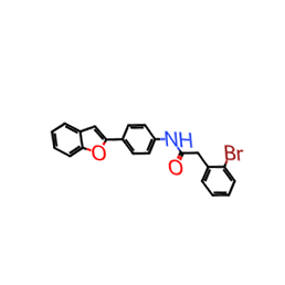 O=C(Cc1ccccc1Br)Nc1ccc(-c2cc3ccccc3o2)cc1